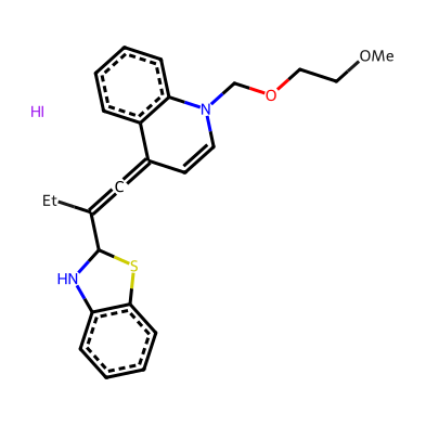 CCC(=C=C1C=CN(COCCOC)c2ccccc21)C1Nc2ccccc2S1.I